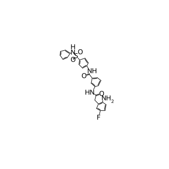 Nc1ccc(F)cc1CC(=O)Nc1cccc(C(=O)Nc2ccc(S(=O)(=O)Nc3ccccc3)cc2)c1